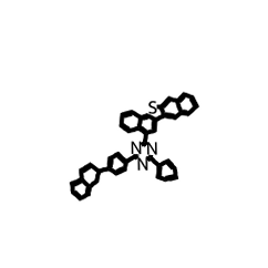 C1=CC(c2ccc(-c3nc(-c4ccccc4)nc(-c4cc5c6cc7ccccc7cc6sc5c5ccccc45)n3)cc2)Cc2ccccc21